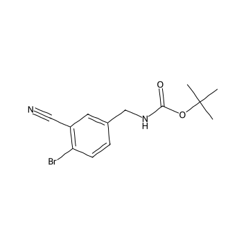 CC(C)(C)OC(=O)NCc1ccc(Br)c(C#N)c1